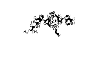 CO[C@H]1[C@H]2NS(=O)(=O)OC[C@H]3O[C@@H](n4cnc5c(=O)[nH]cnc54)[C@H](F)[C@@H]3OP(=O)(OCCC#N)OC[C@H]1O[C@H]2n1cnc2c(=O)[nH]c(NC(=O)C(C)C)nc21